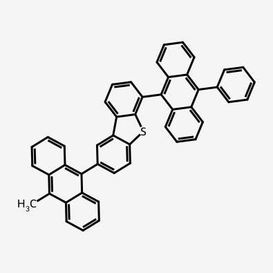 Cc1c2ccccc2c(-c2ccc3sc4c(-c5c6ccccc6c(-c6ccccc6)c6ccccc56)cccc4c3c2)c2ccccc12